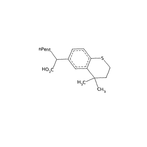 CCCCCC(C(=O)O)c1ccc2c(c1)C(C)(C)CCS2